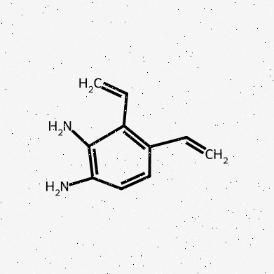 C=Cc1ccc(N)c(N)c1C=C